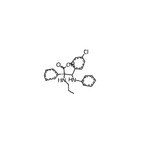 CCCNC(C(=O)O)(c1ccccc1)C(Nc1ccccc1)c1ccc(Cl)cc1